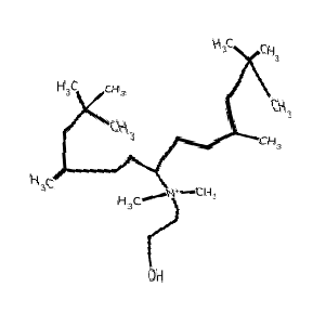 CC(CCC(CCC(C)CC(C)(C)C)[N+](C)(C)CCO)CC(C)(C)C